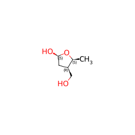 C[C@@H]1O[C@H](O)C[C@@H]1CO